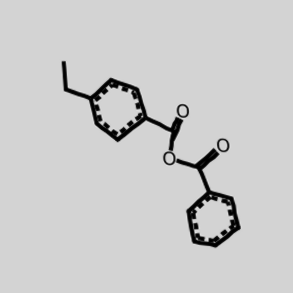 CCc1ccc(C(=O)OC(=O)c2ccccc2)cc1